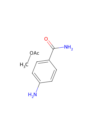 COC(C)=O.NC(=O)c1ccc(N)cc1